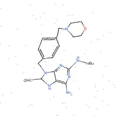 CCCCNc1nc(N)c2c(n1)N(Cc1ccc(CN3CCOCC3)cc1)C(C=O)N2